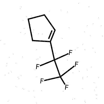 FC(F)(F)C(F)(F)C1=CCCC1